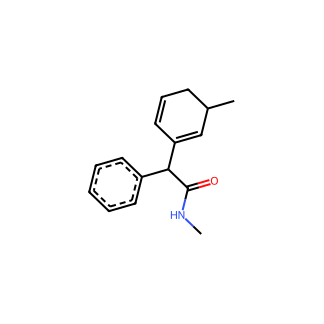 CNC(=O)C(C1=CC(C)CC=C1)c1ccccc1